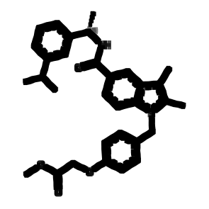 COC(=O)COc1ccc(Cn2c(C)c(C)c3cc(C(=O)N[C@@H](C)c4cccc(C(C)C)c4)ccc32)cc1